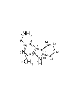 Cc1nc(CN)cc2c1[nH]c1ccccc12